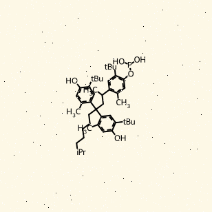 Cc1cc(OP(O)O)c(C(C)(C)C)cc1C(C)CC(CCCCCC(C)C)(c1cc(C(C)(C)C)c(O)cc1C)c1cc(C(C)(C)C)c(O)cc1C